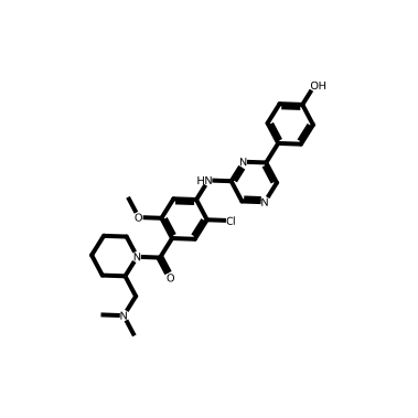 COc1cc(Nc2cncc(-c3ccc(O)cc3)n2)c(Cl)cc1C(=O)N1CCCCC1CN(C)C